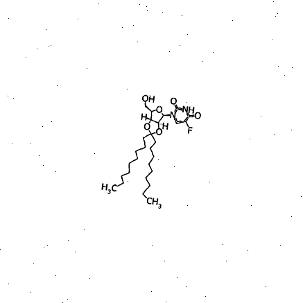 CCCCCCCCCC1(CCCCCCCCC)O[C@H]2[C@H](O1)[C@@H](CO)O[C@H]2n1cc(F)c(=O)[nH]c1=O